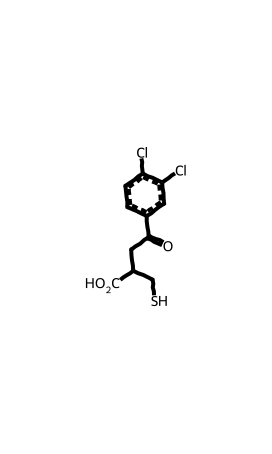 O=C(CC(CS)C(=O)O)c1ccc(Cl)c(Cl)c1